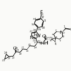 CCN1CCC2(CC1)C[C@@H]2C(=O)N[C@@H](CCCCCC(=O)CC1CC1)c1ncc(-c2ccc(F)cc2)[nH]1